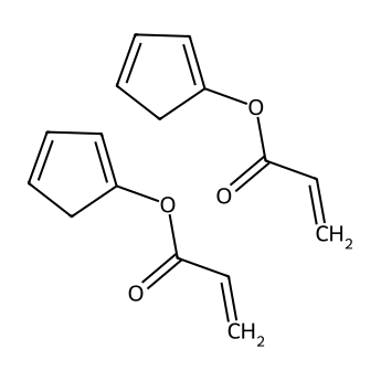 C=CC(=O)OC1=CC=CC1.C=CC(=O)OC1=CC=CC1